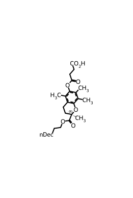 CCCCCCCCCCCCOC(=O)[C@@]1(C)CCc2c(C)c(OC(=O)CCC(=O)O)c(C)c(C)c2O1